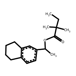 CCC(C)(C)C(=O)OC(C)c1ccc2c(c1)CCCC2